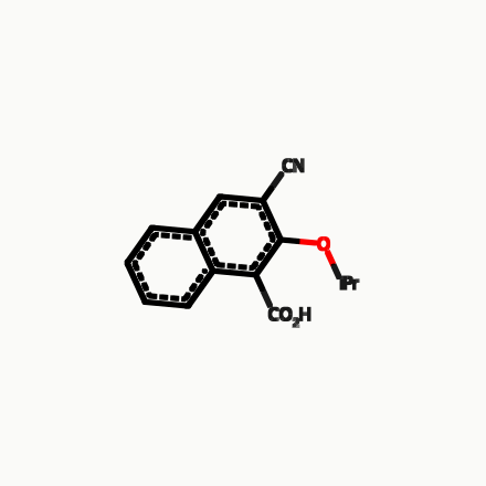 CC(C)Oc1c(C#N)cc2ccccc2c1C(=O)O